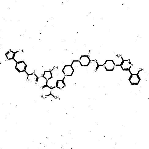 Cc1ncsc1-c1ccc([C@H](C)NC(=O)[C@@H]2C[C@@H](O)CN2C(=O)[C@@H](c2cc(N3CCC(CN4CC[C@H](OC(=O)N5CCN(c6cc(-c7ccccc7O)nnc6N)CC5)[C@@H](F)C4)CC3)no2)C(C)C)cc1